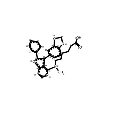 CN(CCCCCC(=O)O)c1ncnc2oc(-c3ccccc3)c(-c3ccc4c(c3)OCO4)c12